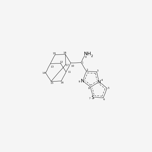 NC(c1cn2ccsc2n1)C1C2CC3CC(C2)CC1C3